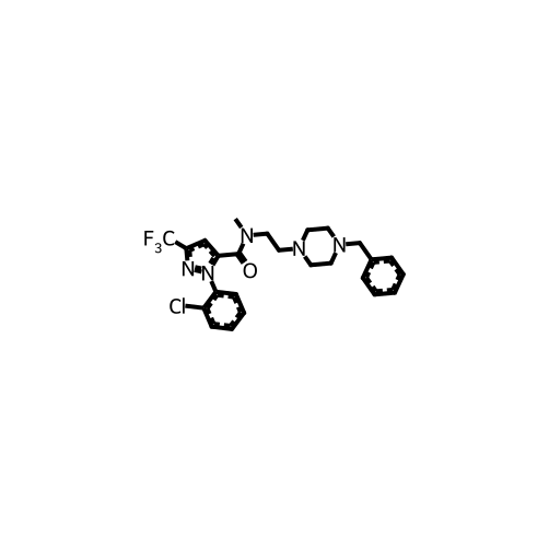 CN(CCN1CCN(Cc2ccccc2)CC1)C(=O)c1cc(C(F)(F)F)nn1-c1ccccc1Cl